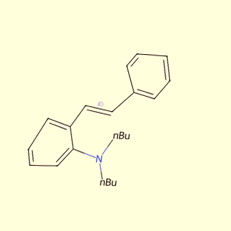 CCCCN(CCCC)c1ccccc1/C=C/c1ccccc1